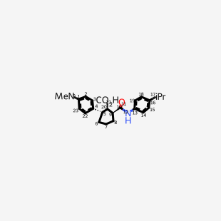 CNc1ccc([C@H]2CCC[C@H](C(=O)Nc3ccc(C(C)C)cc3)[C@@H]2C(=O)O)cc1